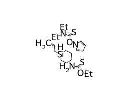 C=CC[SiH]1CCCCC1.CCN(CC)C(=S)On1cccc1.CCOC(N)=S